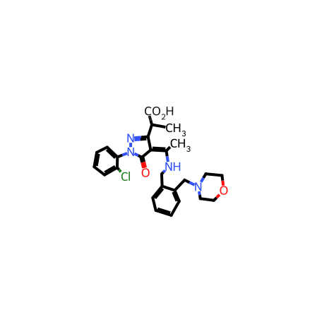 CC(NCc1ccccc1CN1CCOCC1)=C1C(=O)N(c2ccccc2Cl)N=C1C(C)C(=O)O